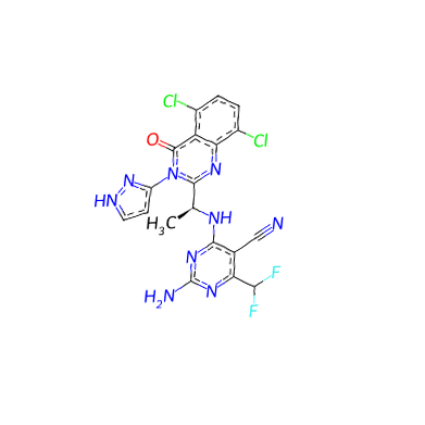 C[C@H](Nc1nc(N)nc(C(F)F)c1C#N)c1nc2c(Cl)ccc(Cl)c2c(=O)n1-c1cc[nH]n1